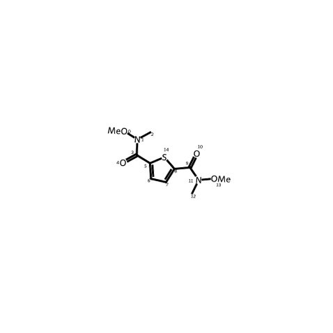 CON(C)C(=O)c1ccc(C(=O)N(C)OC)s1